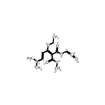 CCOC(C=CN(C)C)=C(C(=O)OC)C(=O)OC=C=O